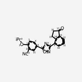 CC(C)Oc1ccc(-c2nc(-c3cc#cc4c3CCC4=O)no2)cc1C#N